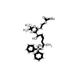 C[C@@H](C/C=C\C(O)[C@H]1OC(C)(C)O[C@H]1CCOC(=O)C(C)(C)C)O[Si](c1ccccc1)(c1ccccc1)C(C)(C)C